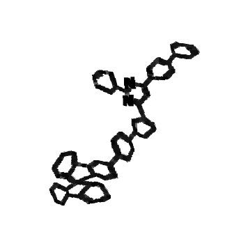 C1=C(c2cccc(-c3cc(-c4ccc(-c5ccccc5)cc4)nc(-c4ccccc4)n3)c2)CCC(c2ccc3c(c2)-c2ccccc2C32c3ccccc3-c3ccccc32)=C1